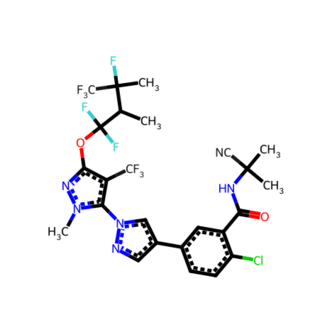 CC(C(F)(F)Oc1nn(C)c(-n2cc(-c3ccc(Cl)c(C(=O)NC(C)(C)C#N)c3)cn2)c1C(F)(F)F)C(C)(F)C(F)(F)F